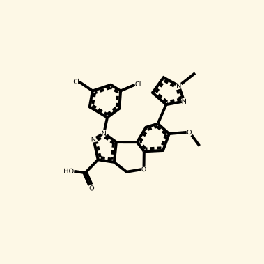 COc1cc2c(cc1-c1ccn(C)n1)-c1c(c(C(=O)O)nn1-c1cc(Cl)cc(Cl)c1)CO2